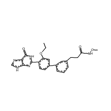 CCOc1cc(-c2cccc(CCC(=O)NOC)c2)ccc1-c1nc2[nH]cnc2c(=O)[nH]1